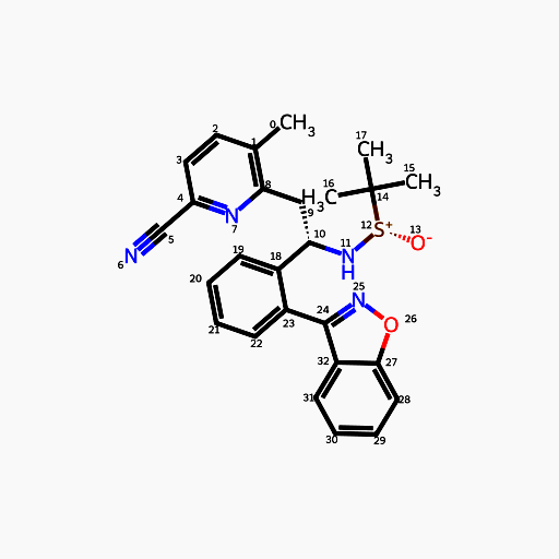 Cc1ccc(C#N)nc1C[C@H](N[S@@+]([O-])C(C)(C)C)c1ccccc1-c1noc2ccccc12